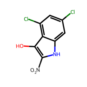 O=[N+]([O-])c1[nH]c2cc(Cl)cc(Cl)c2c1O